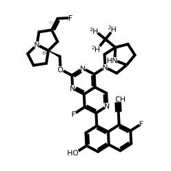 [2H]C([2H])([2H])C12CCC(CN(c3nc(OC[C@@]45CCCN4C/C(=C/F)C5)nc4c(F)c(-c5cc(O)cc6ccc(F)c(C#C)c56)ncc34)C1)N2